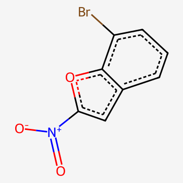 O=[N+]([O-])c1cc2cccc(Br)c2o1